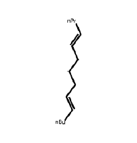 CCCC=CC[CH]CC=CCCCC